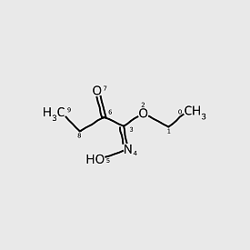 CCOC(=NO)C(=O)CC